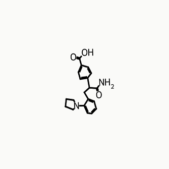 NC(=O)C(Cc1ccccc1N1CCCC1)c1ccc(C(=O)O)cc1